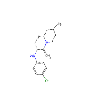 C=C([C@@H](CC(C)C)Nc1ccc(Cl)cc1)N1CCC(C(C)C)CC1